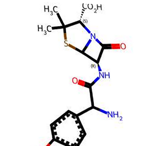 CC1(C)SC2[C@H](NC(=O)C(N)c3ccc(O)cc3)C(=O)N2[C@H]1C(=O)O